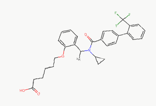 [2H]C(c1ccccc1OCCCCCC(=O)O)N(C(=O)c1ccc(-c2ccccc2C(F)(F)F)cc1)C1CC1